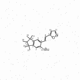 CCCCc1cc2c(cc1C=Cc1ccno1)C(C)(C)C(C)C2(C)C